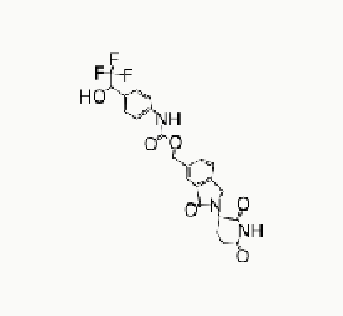 O=C1CCC(N2Cc3ccc(COC(=O)Nc4ccc(C(O)C(F)(F)F)cc4)cc3C2=O)C(=O)N1